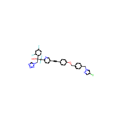 OC(Cn1cnnn1)(c1ccc(F)cc1F)C(F)(F)c1ccc(C#Cc2ccc(OCc3ccc(Cn4cc(Cl)cn4)cc3)cc2)cn1